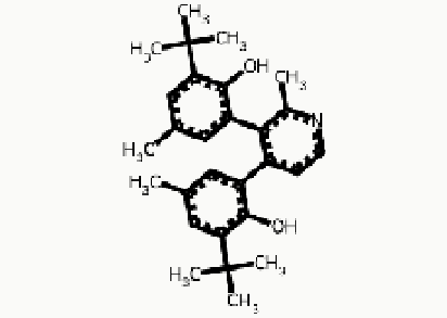 Cc1cc(-c2ccnc(C)c2-c2cc(C)cc(C(C)(C)C)c2O)c(O)c(C(C)(C)C)c1